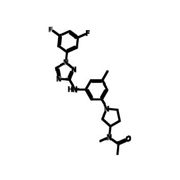 CC(=O)N(C)C1CCN(c2cc(C)cc(Nc3ncn(-c4cc(F)cc(F)c4)n3)c2)C1